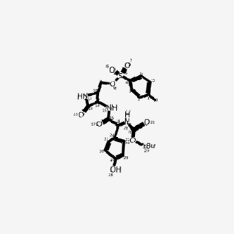 Cc1ccc(S(=O)(=O)OCC2NC(=O)C2NC(=O)C(NC(=O)OC(C)(C)C)c2ccc(O)cc2)cc1